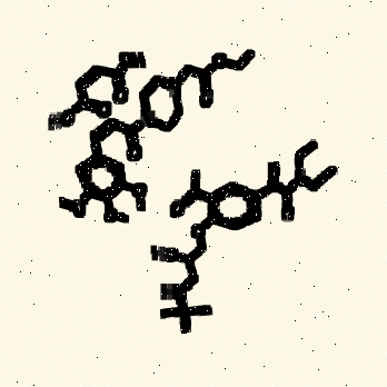 CCN(CC)C(=O)Nc1ccc(OCC(O)CNC(C)(C)C)c(C(C)=O)c1.CCOC(=O)CN1CCN(C(=O)/C=C\c2cc(OC)c(OC)c(OC)c2)CC1.O=C(O)/C=C\C(=O)O